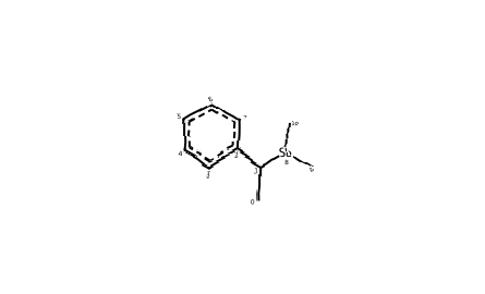 C[CH](c1ccccc1)[Sb]([CH3])[CH3]